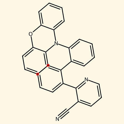 N#Cc1cccnc1-c1ccccc1-c1ccccc1N1c2ccccc2Oc2ccccc21